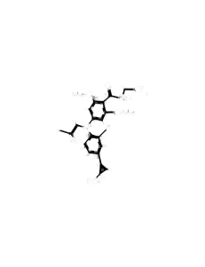 CC/C(C)=C\N(c1cc(OC)c(C(=O)NCC(F)(F)F)c(OC)c1)c1ccc(C2=CC2CC)cc1C